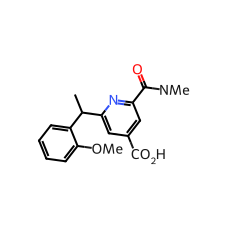 CNC(=O)c1cc(C(=O)O)cc(C(C)c2ccccc2OC)n1